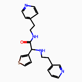 O=C(NCCc1ccncc1)C(NCCc1cccnc1)c1ccsc1